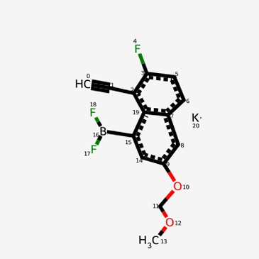 C#Cc1c(F)ccc2cc(OCOC)cc(B(F)F)c12.[K]